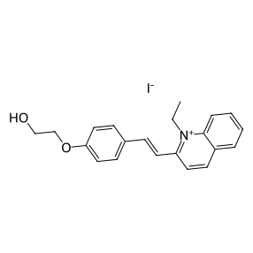 CC[n+]1c(C=Cc2ccc(OCCO)cc2)ccc2ccccc21.[I-]